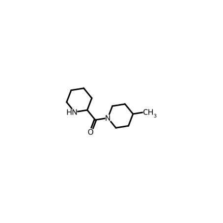 CC1CCN(C(=O)C2CCCCN2)CC1